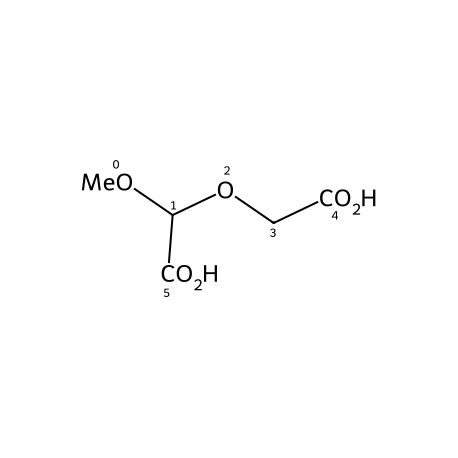 COC(OCC(=O)O)C(=O)O